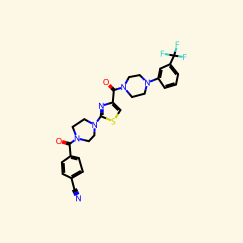 N#Cc1ccc(C(=O)N2CCN(c3nc(C(=O)N4CCN(c5cccc(C(F)(F)F)c5)CC4)cs3)CC2)cc1